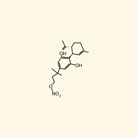 C=C(C)[C@@H]1CCC(C)=C[C@H]1c1c(O)cc(C(C)(C)CCO[N+](=O)[O-])cc1O